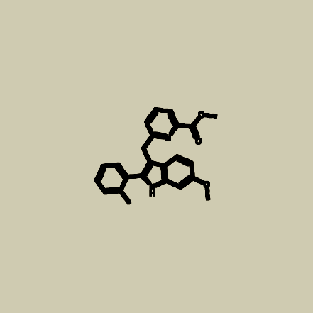 COC(=O)c1cccc(Cc2c(-c3ccccc3C)[nH]c3cc(OC)ccc23)n1